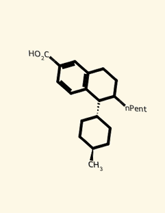 CCCCCC1CCc2cc(C(=O)O)ccc2C1[C@H]1CC[C@H](C)CC1